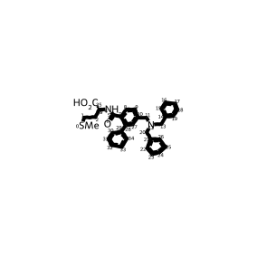 CSCC[C@H](NC(=O)c1ccc(CN(Cc2ccccc2)Cc2ccccc2)cc1-c1ccccc1)C(=O)O